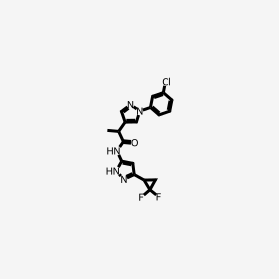 CC(C(=O)Nc1cc(C2CC2(F)F)n[nH]1)c1cnn(-c2cccc(Cl)c2)c1